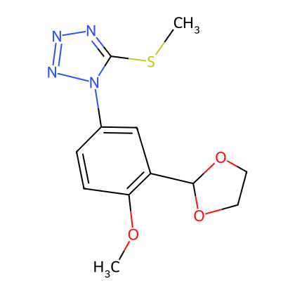 COc1ccc(-n2nnnc2SC)cc1C1OCCO1